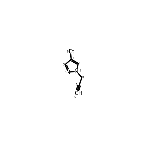 C#CCn1cc(CC)[c]n1